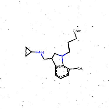 COCCCN1CC(CNC2CC2)c2cccc(C)c21